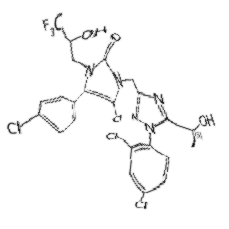 C[C@H](O)c1nc(Cn2c(Cl)c(-c3ccc(Cl)cc3)n(CC(O)C(F)(F)F)c2=O)nn1-c1ccc(Cl)cc1Cl